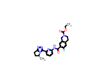 C[C@@H]1CCc2nnc(-c3cccc(NC(=O)c4cc5c(cc4F)CCN(C(=O)OCC(F)(F)F)C5)n3)n21